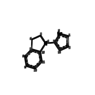 c1c[se]c(N2CCc3ccccc32)c1